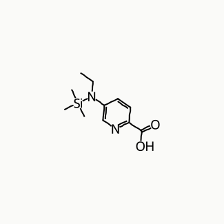 CCN(c1ccc(C(=O)O)nc1)[Si](C)(C)C